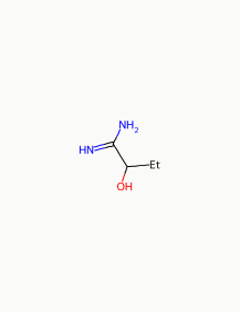 CCC(O)C(=N)N